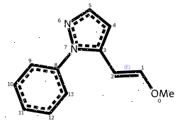 CO/C=C/c1ccnn1-c1ccccc1